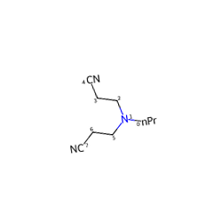 CCCN(CCC#N)CCC#N